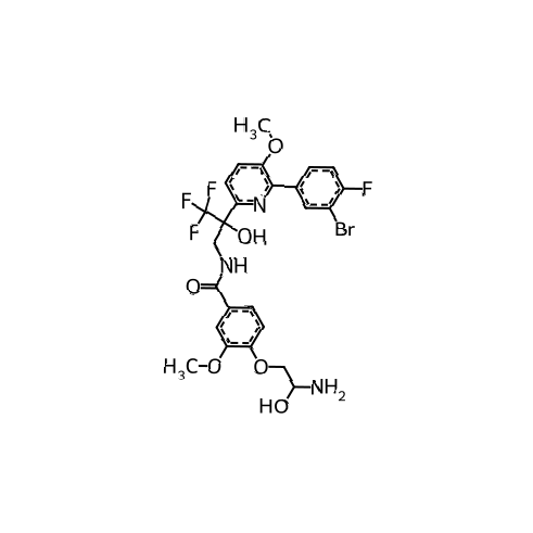 COc1cc(C(=O)NCC(O)(c2ccc(OC)c(-c3ccc(F)c(Br)c3)n2)C(F)(F)F)ccc1OCC(N)O